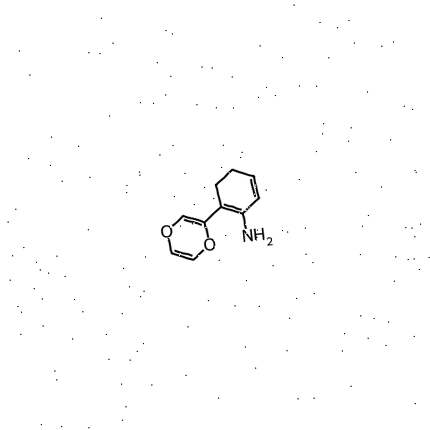 NC1=C(C2=COC=CO2)CCC=C1